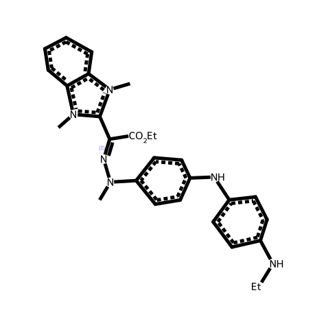 CCNc1ccc(Nc2ccc(N(C)/N=C(\C(=O)OCC)c3n(C)c4ccccc4[n+]3C)cc2)cc1